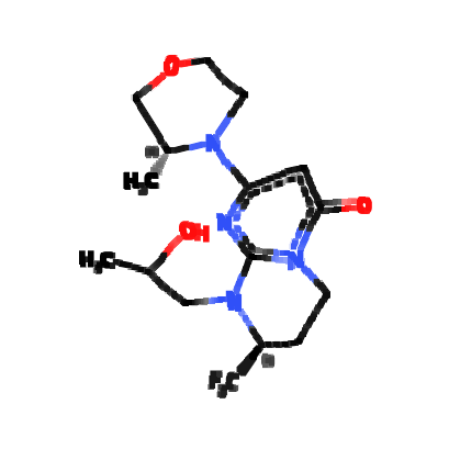 CC(O)CN1c2nc(N3CCOC[C@H]3C)cc(=O)n2CC[C@H]1C(F)(F)F